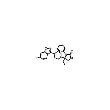 CCC1(N2CCC(c3noc4cc(F)ccc34)CC2)CNC(=O)N1c1ccccc1